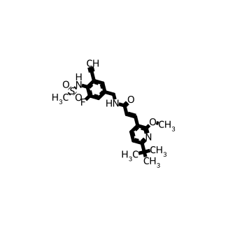 C#Cc1cc(CNC(=O)C=Cc2ccc(C(C)(C)C)nc2OC)cc(F)c1NS(C)(=O)=O